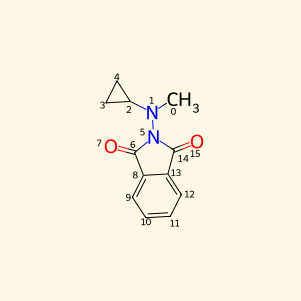 CN(C1CC1)N1C(=O)c2ccccc2C1=O